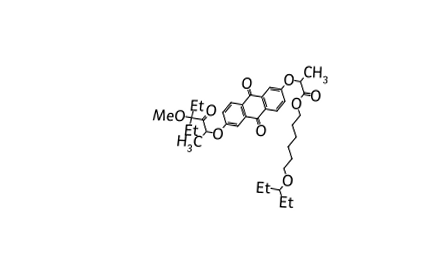 CCC(CC)OCCCCCCOC(=O)C(C)Oc1ccc2c(c1)C(=O)c1ccc(OC(C)C(=O)C(CC)(CC)OC)cc1C2=O